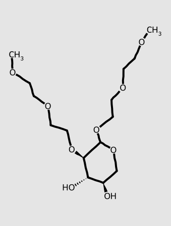 COCCOCCOC1OC[C@@H](O)[C@H](O)[C@H]1OCCOCCOC